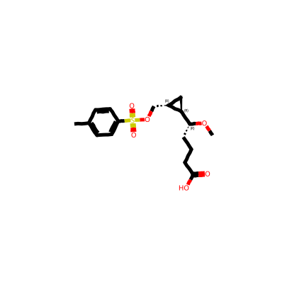 CO[C@H](CCCC(=O)O)[C@@H]1C[C@H]1COS(=O)(=O)c1ccc(C)cc1